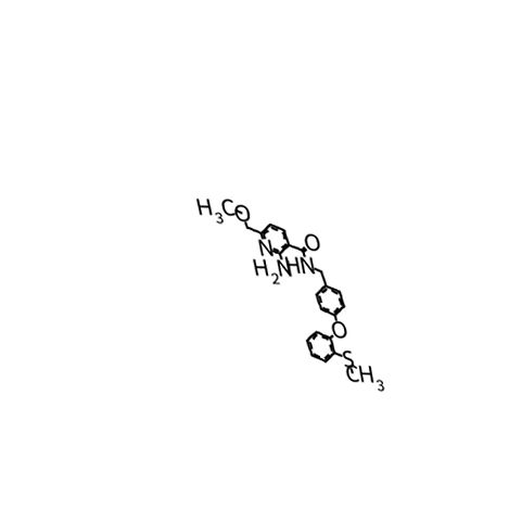 COCc1ccc(C(=O)NCc2ccc(Oc3ccccc3SC)cc2)c(N)n1